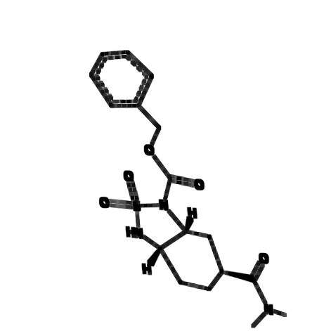 CN(C)C(=O)[C@H]1CC[C@@H]2NS(=O)(=O)N(C(=O)OCc3ccccc3)[C@@H]2C1